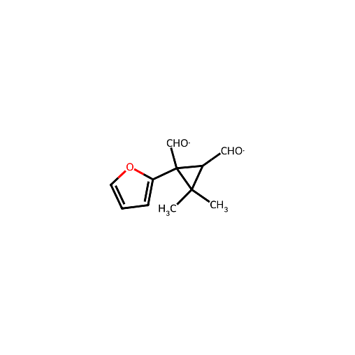 CC1(C)C([C]=O)C1([C]=O)c1ccco1